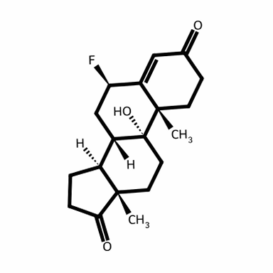 C[C@]12CCC(=O)C=C1[C@H](F)C[C@H]1[C@@H]3CCC(=O)[C@@]3(C)CC[C@@]12O